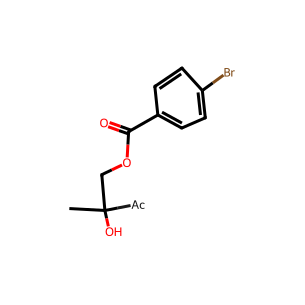 CC(=O)C(C)(O)COC(=O)c1ccc(Br)cc1